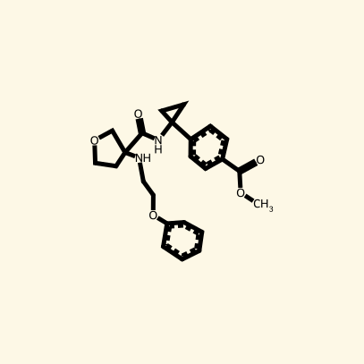 COC(=O)c1ccc(C2(NC(=O)C3(NCCOc4ccccc4)CCOC3)CC2)cc1